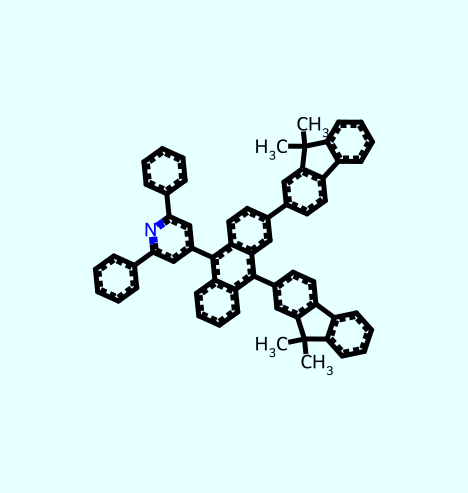 CC1(C)c2ccccc2-c2ccc(-c3ccc4c(-c5cc(-c6ccccc6)nc(-c6ccccc6)c5)c5ccccc5c(-c5ccc6c(c5)C(C)(C)c5ccccc5-6)c4c3)cc21